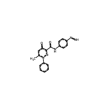 Cc1cc(=O)c(C(=O)Nc2ccc(N=N)cc2)nn1-c1ccccc1